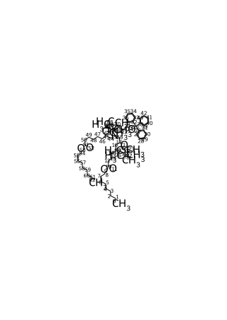 CCCCCC/C=C\COC(=O)CCCCCC(CN(CCCCOC(c1ccccc1)(c1ccccc1)c1ccccc1)CC(CCCCCC(=O)OC/C=C\CCCCCC)O[Si](C)(C)C(C)(C)C)O[Si](C)(C)C(C)(C)C